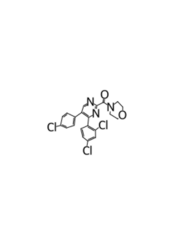 O=C(c1ncc(-c2ccc(Cl)cc2)c(-c2ccc(Cl)cc2Cl)n1)N1CCOCC1